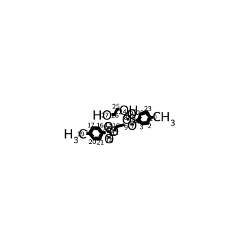 Cc1ccc(S(=O)(=O)OCCOS(=O)(=O)c2ccc(C)cc2)cc1.OCCO